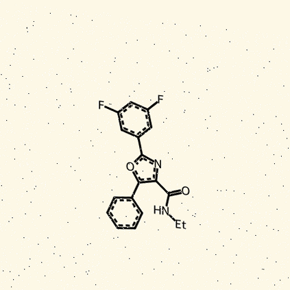 CCNC(=O)c1nc(-c2cc(F)cc(F)c2)oc1-c1ccccc1